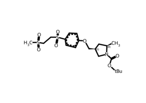 C[C@@H]1C[C@H](COc2ccc(S(=O)(=O)CCS(C)(=O)=O)cc2)CN1C(=O)OC(C)(C)C